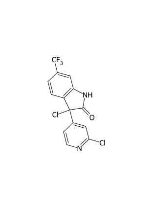 O=C1Nc2cc(C(F)(F)F)ccc2C1(Cl)c1ccnc(Cl)c1